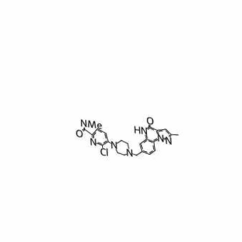 CNC(=O)c1ccc(N2CCN(Cc3ccc4c(c3)[nH]c(=O)c3cc(C)nn34)CC2)c(Cl)n1